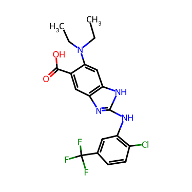 CCN(CC)c1cc2[nH]c(Nc3cc(C(F)(F)F)ccc3Cl)nc2cc1C(=O)O